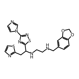 c1cn(-c2nsc(C(Cc3nccs3)NCCNCc3ccc4c(c3)OCO4)n2)cn1